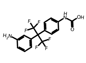 Nc1cccc(C(c2ccc(NC(=O)O)cc2)(C(F)(F)F)C(F)(F)F)c1